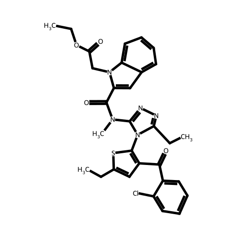 CCOC(=O)Cn1c(C(=O)N(C)c2nnc(CC)n2-c2sc(CC)cc2C(=O)c2ccccc2Cl)cc2ccccc21